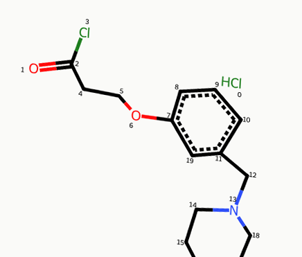 Cl.O=C(Cl)CCOc1cccc(CN2CCCCC2)c1